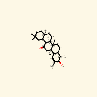 CC(=O)[C@]12CCC(C)(C)CC1C1C(=O)CC3[C@@]4(C)C=C(C#N)C(=O)[C@@H](C)C4CC[C@@]3(C)[C@]1(C)CC2